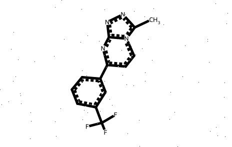 Cc1nnc2nc(-c3cccc(C(F)(F)F)c3)ccn12